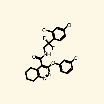 O=C(NCC(F)(F)c1ccc(Cl)cc1Cl)c1c(Oc2cccc(Cl)c2)nnc2c1CCCC2